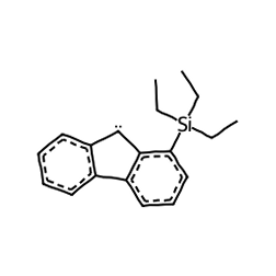 CC[Si](CC)(CC)c1cccc2c1[C]c1ccccc1-2